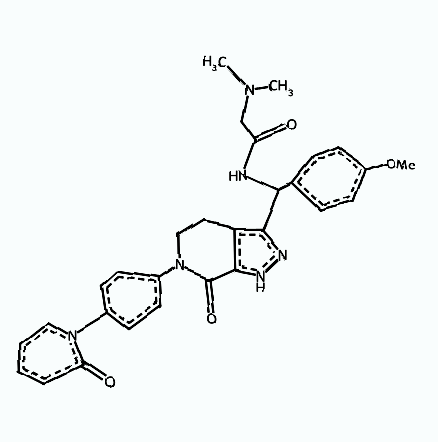 COc1ccc(C(NC(=O)CN(C)C)c2n[nH]c3c2CCN(c2ccc(-n4ccccc4=O)cc2)C3=O)cc1